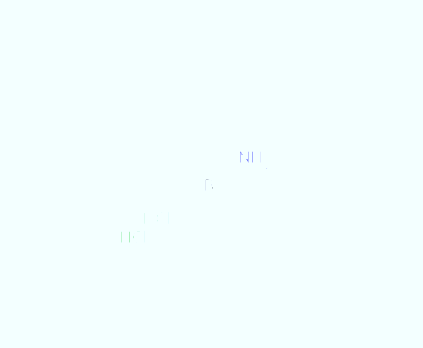 C#CCB(N)CC#C.Cl.Cl